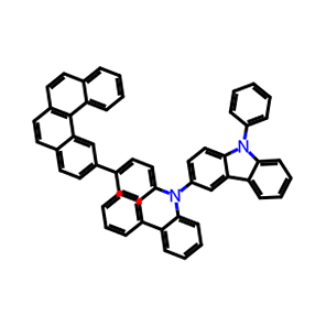 c1ccc(-c2ccccc2N(c2ccc(-c3ccc4ccc5ccc6ccccc6c5c4c3)cc2)c2ccc3c(c2)c2ccccc2n3-c2ccccc2)cc1